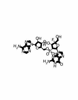 Nc1nc2c(ncn2[C@@H]2O[C@](F)(CO)[C@@H](O)[C@H]2P(=O)(O)OC[C@H]2O[C@@H](n3cnc4c(N)ncnc43)[C@H](O)[C@@H]2O)c(=O)[nH]1